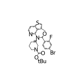 Cc1csc2ccnc(N(C(=O)c3ccc(Br)cc3F)[C@@H]3CCCN(C(=O)OC(C)(C)C)C3)c12